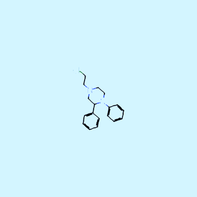 ClCCN1CCN(c2ccccc2)C(c2ccccc2)C1